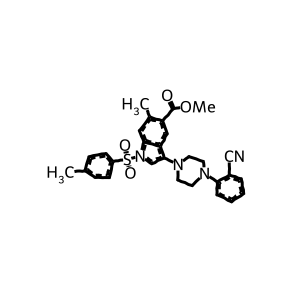 COC(=O)c1cc2c(N3CCN(c4ccccc4C#N)CC3)cn(S(=O)(=O)c3ccc(C)cc3)c2cc1C